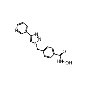 O=C(NO)c1ccc(Cn2cc(-c3cccnc3)nn2)cc1